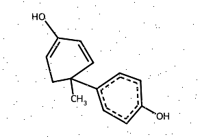 CC1(c2ccc(O)cc2)C=CC(O)=CC1